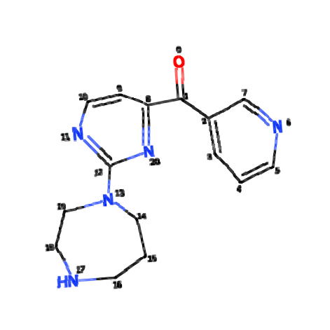 O=C(c1cccnc1)c1ccnc(N2CCCNCC2)n1